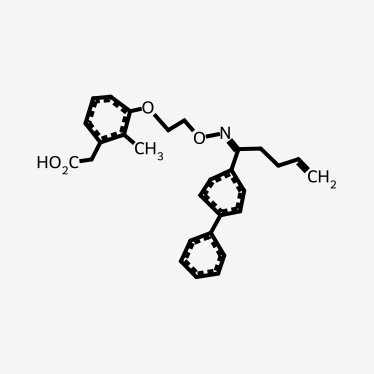 C=CCCC(=NOCCOc1cccc(CC(=O)O)c1C)c1ccc(-c2ccccc2)cc1